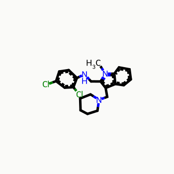 Cn1c(CNc2ccc(Cl)cc2Cl)c(CN2CCCCC2)c2ccccc21